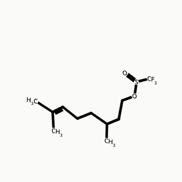 CC(C)=CCCC(C)CCOS(=O)C(F)(F)F